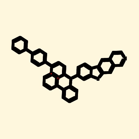 c1ccc(-c2ccc(-c3ccc(N(c4ccc5c(c4)sc4cc6cnccc6cc45)c4ccccc4-c4ccccc4)cc3)cc2)cc1